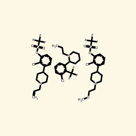 C=CCN1CCC(c2cccc(OS(=O)(=O)C(F)(F)F)c2Cl)CC1.CCCN1CCCCC1c1cccc(Cl)c1C(F)(F)F.COCCN1CCC(c2cccc(OS(=O)(=O)C(F)(F)F)c2Cl)CC1